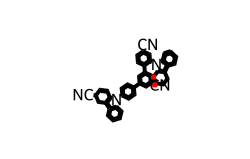 N#Cc1cc(-c2ccc(-n3c4c(c5ccccc53)CC(C#N)C=C4)cc2)cc(-c2ccc(C#N)cc2-n2c3c(c4ccc#cc42)CCCC3)c1